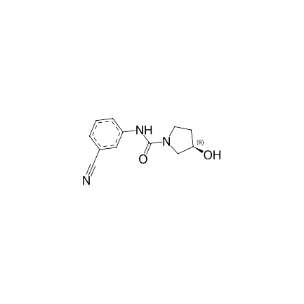 N#Cc1cccc(NC(=O)N2CC[C@@H](O)C2)c1